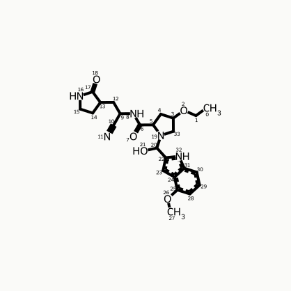 CCOC1CC(C(=O)NC(C#N)CC2CCNC2=O)N(C(O)c2cc3c(OC)cccc3[nH]2)C1